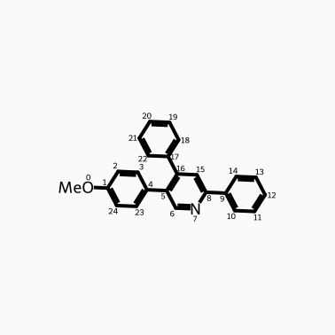 COc1ccc(-c2cnc(-c3ccccc3)cc2-c2ccccc2)cc1